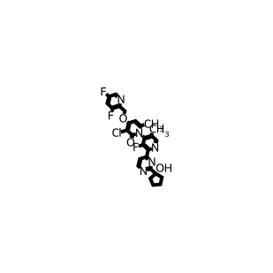 Cc1cnc(-c2ccnc(C3(O)CCCC3)n2)c(F)c1-n1c(C)cc(OCc2ncc(F)cc2F)c(Cl)c1=O